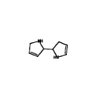 C1=CC(C2CC=CN2)NC1